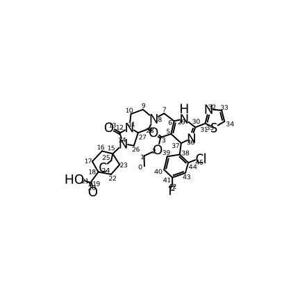 CCOC(=O)C1=C(CN2CCN3C(=O)N(C45CCC(C(=O)O)(CC4)CC5)CC3C2)NC(c2nccs2)=NC1c1ccc(F)cc1Cl